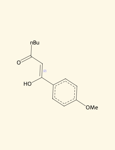 CCCCC(=O)/C=C(\O)c1ccc(OC)cc1